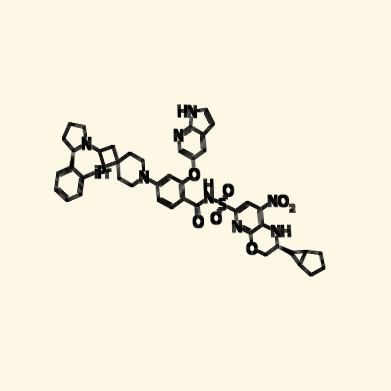 CC(C)c1ccccc1[C@H]1CCCN1C1CC2(CCN(c3ccc(C(=O)NS(=O)(=O)c4cc([N+](=O)[O-])c5c(n4)OC[C@H](C4C6CCCC64)N5)c(Oc4cnc5[nH]ccc5c4)c3)CC2)C1